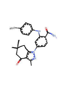 COc1ccc(Nc2cc(-n3nc(C)c4c3CC(C)(C)CC4=O)ccc2C(N)=O)cc1